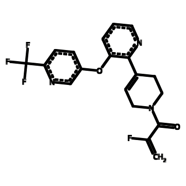 C=C(F)C(=O)N1CC=C(c2ncccc2Oc2ccc(C(F)(F)F)nc2)CC1